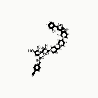 C#Cc1ccc(CNC(=O)[C@@H]2C[C@@H](O)CN2C(=O)[C@@H](NC(=O)N2CCC(CN3CCC(N4CCc5[nH]c6nnc(-c7ccccc7O)cc6c5[C@H]4C)CC3)CC2)C(C)(C)C)cc1